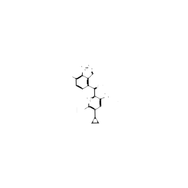 Nc1cc(C2CC2)c(Br)nc1C(=O)c1ccc(F)c2[nH]ncc12